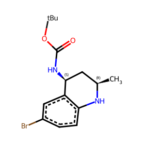 C[C@@H]1C[C@H](NC(=O)OC(C)(C)C)c2cc(Br)ccc2N1